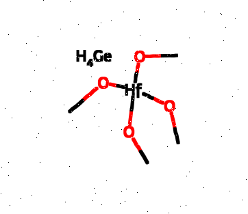 C[O][Hf]([O]C)([O]C)[O]C.[GeH4]